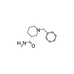 NC(=O)[C@@H]1CCCN(Cc2ccccc2)C1